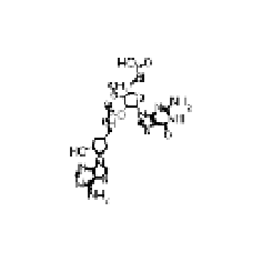 CO[C@H]1[C@@H](O[PH](=O)OC[C@@H]2C[C@@H](O)[C@H](n3cnc4c(N)ncnc43)C2)[C@H](n2cnc3c(=O)[nH]c(N)nc32)O[C@@H]1CO[PH](=O)O